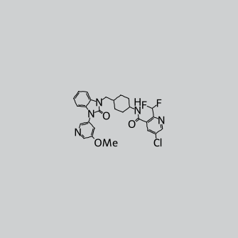 COc1cncc(-n2c(=O)n(CC3CCC(NC(=O)c4cc(Cl)cnc4C(F)F)CC3)c3ccccc32)c1